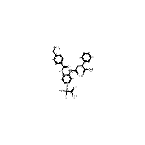 NCc1ccc(C(=O)Oc2ccccc2NC(=O)CC(C(=O)O)c2ccccc2)cc1.O=C(O)C(F)(F)F